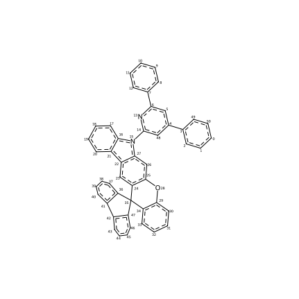 c1ccc(-c2cc(-c3ccccc3)nc(-n3c4ccccc4c4cc5c(cc43)Oc3ccccc3C53c4ccccc4-c4ccccc43)c2)cc1